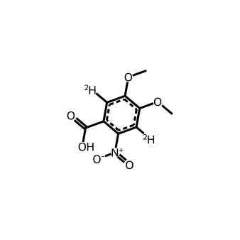 [2H]c1c(OC)c(OC)c([2H])c([N+](=O)[O-])c1C(=O)O